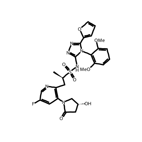 COc1cccc(OC)c1-n1c(NS(=O)(=O)[C@H](C)Cc2ncc(F)cc2N2C[C@H](O)CC2=O)nnc1-c1ccco1